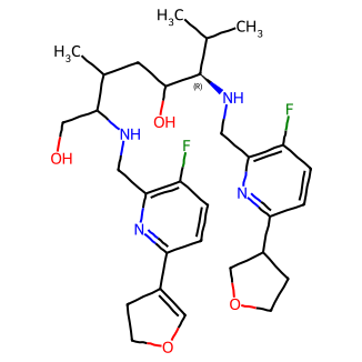 CC(CC(O)[C@H](NCc1nc(C2CCOC2)ccc1F)C(C)C)C(CO)NCc1nc(C2=COCC2)ccc1F